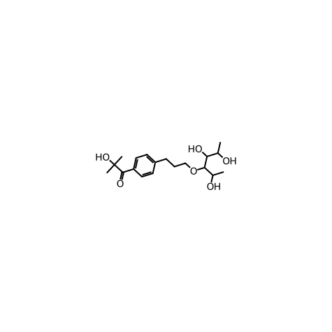 CC(O)C(O)C(OCCCc1ccc(C(=O)C(C)(C)O)cc1)C(C)O